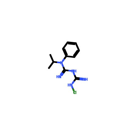 CC(C)N(C(=N)NC(=N)NCl)c1ccccc1